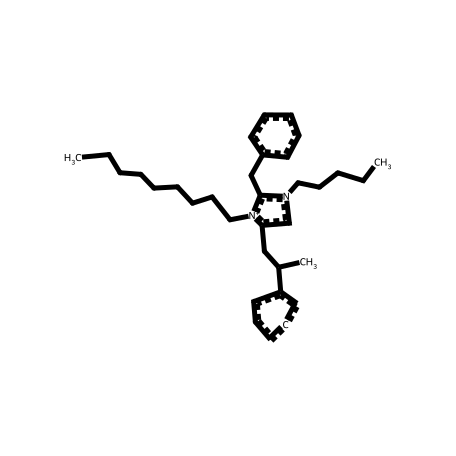 CCCCCCCCC[n+]1c(CC(C)c2ccccc2)cn(CCCCC)c1Cc1ccccc1